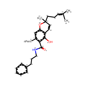 CCCCCc1cc2c(c(O)c1C(=O)NCCCc1ccccc1)C=CC(C)(CCC=C(C)C)O2